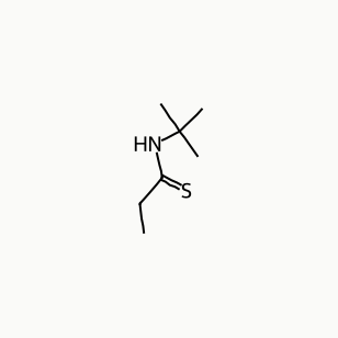 CCC(=S)NC(C)(C)C